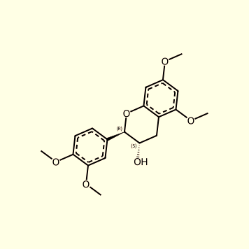 COc1cc(OC)c2c(c1)O[C@H](c1ccc(OC)c(OC)c1)[C@@H](O)C2